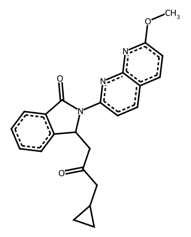 COc1ccc2ccc(N3C(=O)c4ccccc4C3CC(=O)CC3CC3)nc2n1